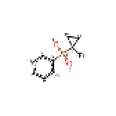 CCC1(S(=O)(=O)c2ccccc2)CC1